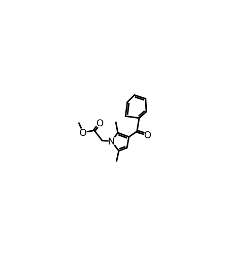 COC(=O)Cn1c(C)cc(C(=O)c2ccccc2)c1C